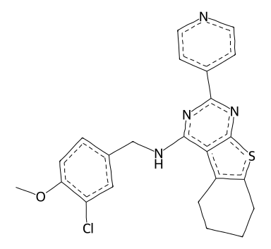 COc1ccc(CNc2nc(-c3ccncc3)nc3sc4c(c23)CCCC4)cc1Cl